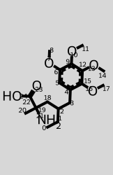 CCC(Cc1cc(OC)c(OC)c(OC)c1OC)CC(C)(N)C(=O)O